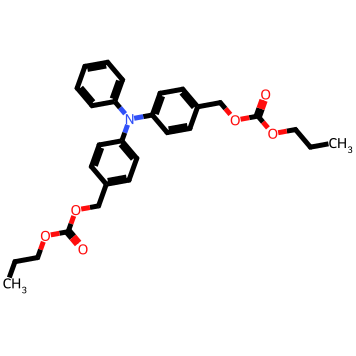 CCCOC(=O)OCc1ccc(N(c2ccccc2)c2ccc(COC(=O)OCCC)cc2)cc1